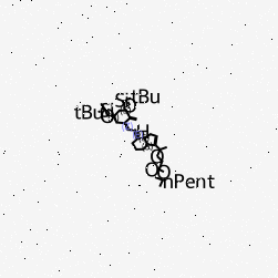 C=C1/C(=C\C=C2/CCC[C@]3(C)C(C(C)OCC(=O)OC(C)(C)CCCCC)=CC[C@@H]23)C[C@@H](O[Si](C)(C)C(C)(C)C)C[C@@H]1O[Si](C)(C)C(C)(C)C